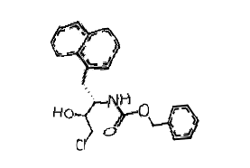 O=C(N[C@@H](Cc1cccc2ccccc12)[C@H](O)CCl)OCc1ccccc1